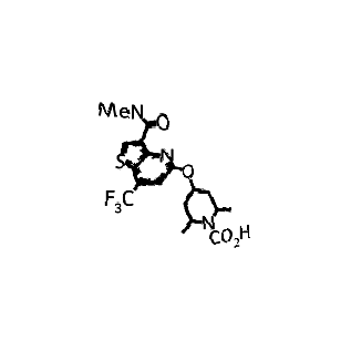 CNC(=O)c1csc2c(C(F)(F)F)cc(OC3CC(C)N(C(=O)O)C(C)C3)nc12